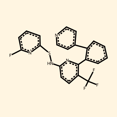 Fc1cccc(SNc2ccc(C(F)(F)F)c(-c3ccccc3-c3ccncc3)n2)n1